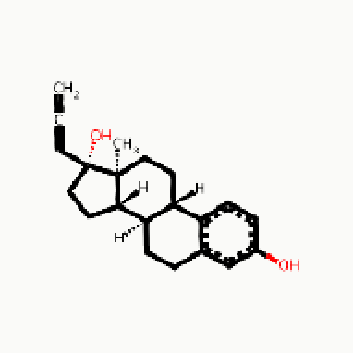 C=C=C[C@]1(O)CC[C@H]2[C@@H]3CCc4cc(O)ccc4[C@H]3CC[C@@]21C